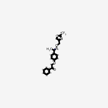 C/C(=N\OCc1csc(C(F)(F)F)n1)c1ccc(OCC(=O)c2ccccc2)cc1